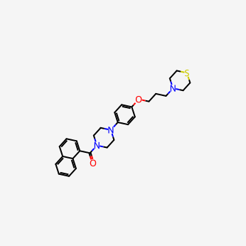 O=C(c1cccc2ccccc12)N1CCN(c2ccc(OCCCN3CCSCC3)cc2)CC1